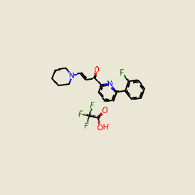 O=C(C=CN1CCCCC1)c1cccc(-c2ccccc2F)n1.O=C(O)C(F)(F)F